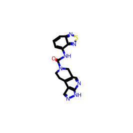 O=C(Nc1cccc2nsnc12)N1CCc2c(cnc3[nH]ncc23)C1